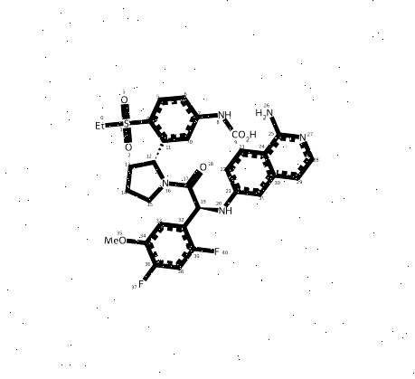 CCS(=O)(=O)c1ccc(NC(=O)O)cc1[C@H]1CCCN1C(=O)[C@@H](Nc1ccc2c(N)nccc2c1)c1cc(OC)c(F)cc1F